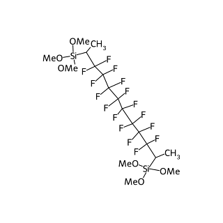 CO[Si](OC)(OC)C(C)C(F)(F)C(F)(F)C(F)(F)C(F)(F)C(F)(F)C(F)(F)C(F)(F)C(F)(F)C(C)[Si](OC)(OC)OC